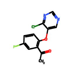 CC(=O)c1cc(F)ccc1Oc1cncnc1Cl